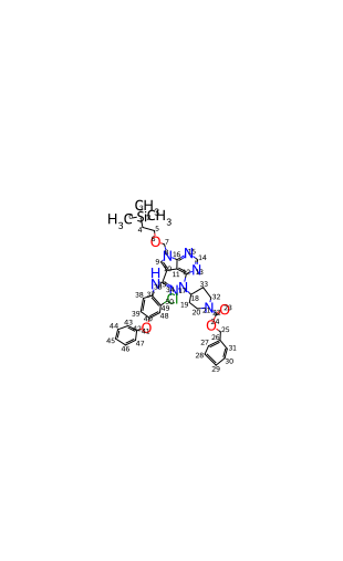 C[Si](C)(C)CCOCn1cc2c3c(ncnc31)N(C1CCN(C(=O)OCc3ccccc3)CC1)N=C2Nc1ccc(Oc2ccccc2)cc1Cl